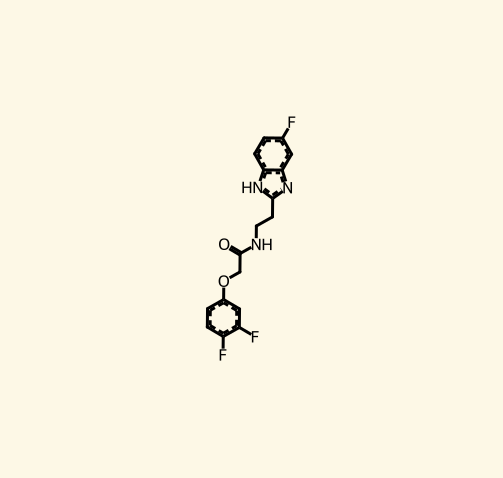 O=C(COc1ccc(F)c(F)c1)NCCc1nc2cc(F)ccc2[nH]1